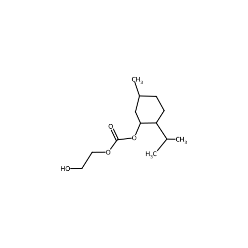 CC1CCC(C(C)C)C(OC(=O)OCCO)C1